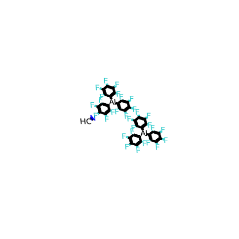 C#N.Fc1c(F)c(F)[c]([Al]([c]2c(F)c(F)c(F)c(F)c2F)[c]2c(F)c(F)c(F)c(F)c2F)c(F)c1F.Fc1c(F)c(F)[c]([Al]([c]2c(F)c(F)c(F)c(F)c2F)[c]2c(F)c(F)c(F)c(F)c2F)c(F)c1F